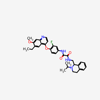 CCc1cc2c(Oc3ccc(NC(=O)C(=O)NCC4c5ccccc5CCN4C(C)C)cc3F)ccnc2cc1OC